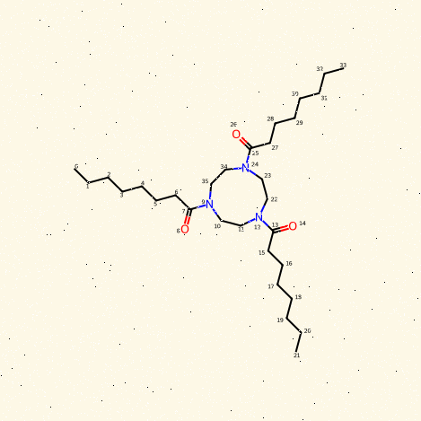 CCCCCCCC(=O)N1CCN(C(=O)CCCCCCC)CCN(C(=O)CCCCCCC)CC1